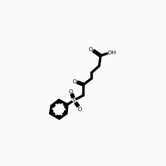 O=C(O)CCCC(=O)CS(=O)(=O)c1ccccc1